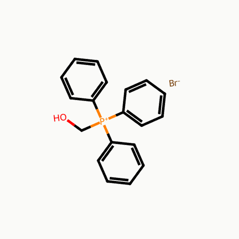 OC[P+](c1ccccc1)(c1ccccc1)c1ccccc1.[Br-]